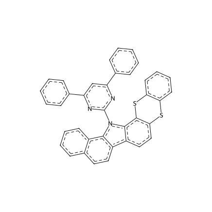 c1ccc(-c2cc(-c3ccccc3)nc(-n3c4c5c(ccc4c4ccc6ccccc6c43)Sc3ccccc3S5)n2)cc1